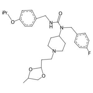 CC(C)Oc1ccc(CNC(=O)N(Cc2ccc(F)cc2)C2CCN(CCC3OCC(C)O3)CC2)cc1